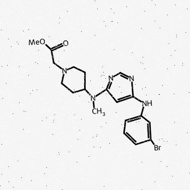 COC(=O)CN1CCC(N(C)c2cc(Nc3cccc(Br)c3)ncn2)CC1